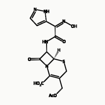 CC(=O)OCC1=C(C(=O)O)N2C(=O)C(NC(=O)/C(=N\O)c3ccn[nH]3)[C@H]2SC1